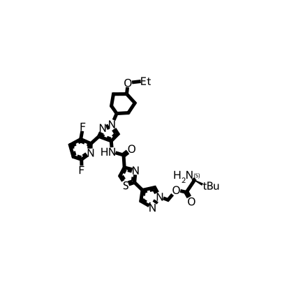 CCOC1CCC(n2cc(NC(=O)c3csc(-c4cnn(COC(=O)[C@@H](N)C(C)(C)C)c4)n3)c(-c3nc(F)ccc3F)n2)CC1